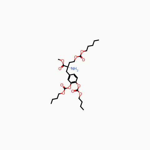 CCCCCOC(=O)OCC[C@@](N)(Cc1ccc(OC(=O)OCCCC)c(OC(=O)OCCCC)c1)C(=O)OC